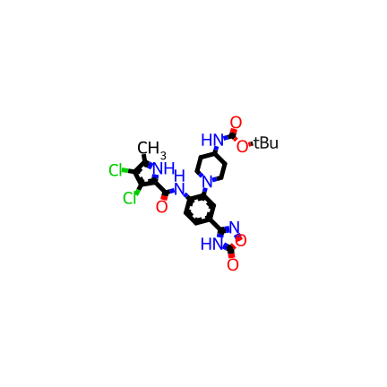 Cc1[nH]c(C(=O)Nc2ccc(-c3noc(=O)[nH]3)cc2N2CCC(NC(=O)OC(C)(C)C)CC2)c(Cl)c1Cl